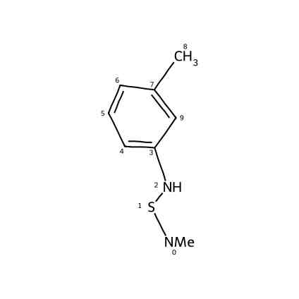 CNSNc1cccc(C)c1